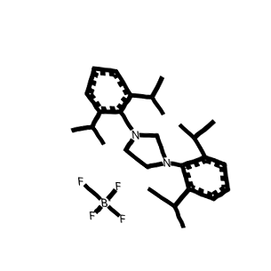 CC(C)c1cccc(C(C)C)c1N1CCN(c2c(C(C)C)cccc2C(C)C)C1.F[B-](F)(F)F